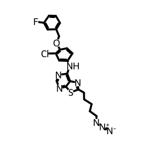 [N-]=[N+]=NCCCCCc1nc2c(Nc3ccc(OCc4cccc(F)c4)c(Cl)c3)ncnc2s1